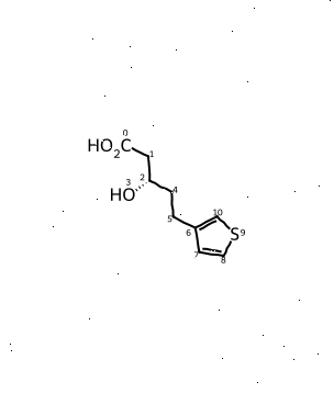 O=C(O)C[C@@H](O)CCc1ccsc1